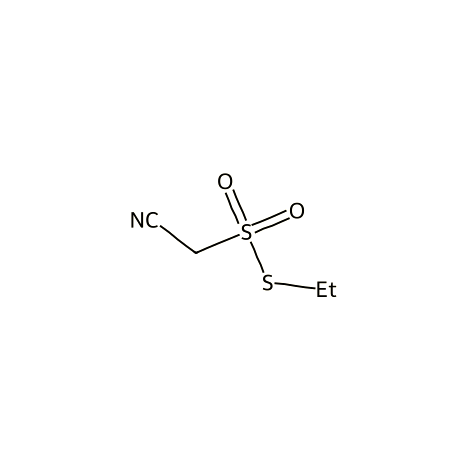 CCSS(=O)(=O)CC#N